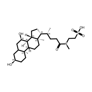 C[C@H](CCC(=O)N(C)CCS(=O)(=O)O)[C@H]1CC[C@H]2[C@@H]3[C@H](O)CC4C[C@H](O)CC[C@]4(C)[C@H]3CC[C@]12C